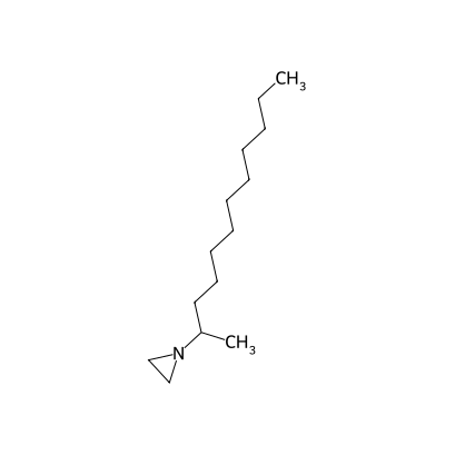 CCCCCCCCCCC(C)N1CC1